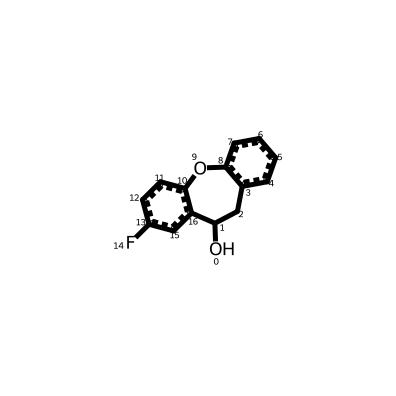 OC1Cc2ccccc2Oc2ccc(F)cc21